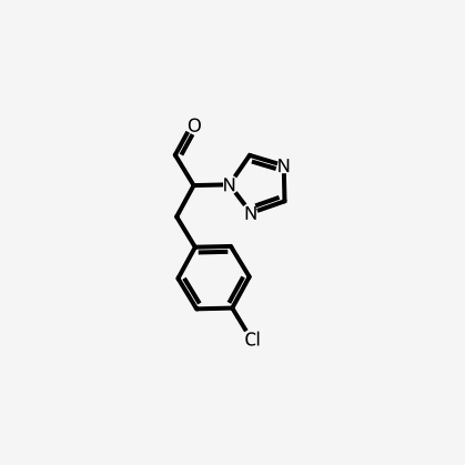 O=CC(Cc1ccc(Cl)cc1)n1cncn1